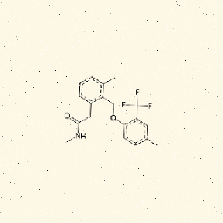 CNC(=O)Cc1cccc(C)c1COc1ccc(C)cc1C(F)(F)F